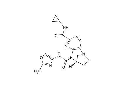 Cc1nc(NC(=O)N2c3nc(C(=O)NC4CC4)ccc3N3CC[C@H]2C3)co1